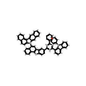 c1ccc(-c2nc(-c3ccc4oc5c6ccccc6c(-n6c7cc8ccccc8cc7c7c8ccccc8ccc76)cc5c4c3)nc(-c3cccc4c5ccccc5n(-c5ccccc5)c34)n2)cc1